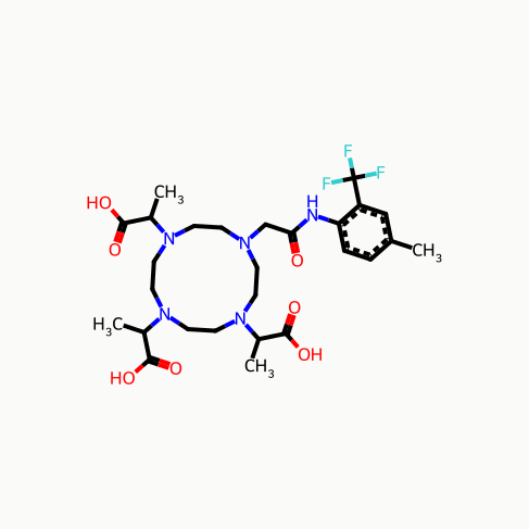 Cc1ccc(NC(=O)CN2CCN(C(C)C(=O)O)CCN(C(C)C(=O)O)CCN(C(C)C(=O)O)CC2)c(C(F)(F)F)c1